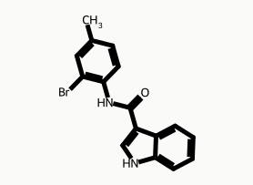 Cc1ccc(NC(=O)c2c[nH]c3ccccc23)c(Br)c1